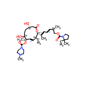 C/C(=C\C=C\[C@@H](C)COC(=O)N1CCCC1(C)C)[C@H]1OC(=O)C[C@@H](O)CC[C@](C)(O)[C@H](OC(=O)N2CCN(C)CC2)/C=C/[C@@H]1C